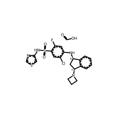 O=CO.O=S(=O)(Nc1cscn1)c1cc(Cl)c(N[C@@H]2C[C@H](N3CCC3)c3ccccc32)cc1F